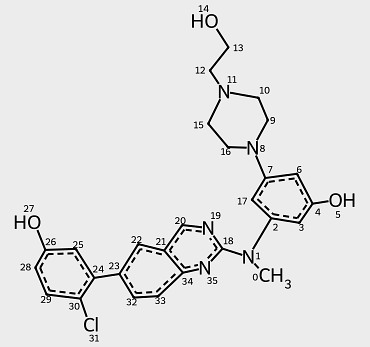 CN(c1cc(O)cc(N2CCN(CCO)CC2)c1)c1ncc2cc(-c3cc(O)ccc3Cl)ccc2n1